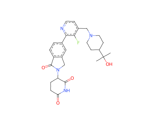 CC(C)(O)C1CCN(Cc2ccnc(-c3ccc4c(c3)CN(C3CCC(=O)NC3=O)C4=O)c2F)CC1